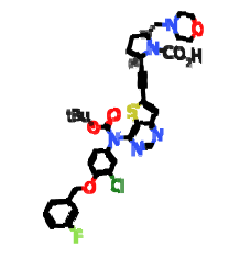 CC(C)(C)OC(=O)N(c1ccc(OCc2cccc(F)c2)c(Cl)c1)c1ncnc2cc(C#C[C@H]3CC[C@H](CN4CCOCC4)N3C(=O)O)sc12